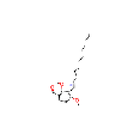 CCCCCCCCCC/C=C/c1c(OC)c(C)cc(C=O)c1OC